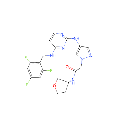 O=C(Cn1cc(Nc2nccc(NCc3c(F)cc(F)cc3F)n2)cn1)N[C@@H]1CCOC1